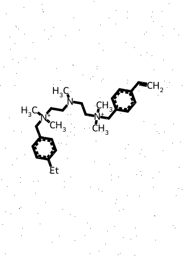 C=Cc1ccc(C[N+](C)(C)CCN(C)CC[N+](C)(C)Cc2ccc(CC)cc2)cc1